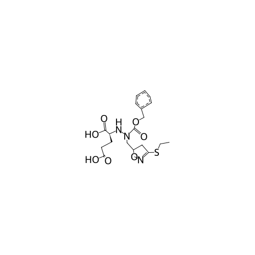 CCSC1=NOC(CN(N[C@@H](CCC(=O)O)C(=O)O)C(=O)OCc2ccccc2)C1